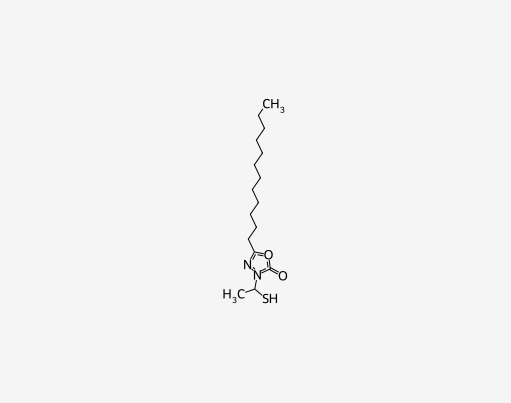 CCCCCCCCCCCCc1nn(C(C)S)c(=O)o1